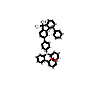 CC1(C)c2ccc(-c3ccc(N(c4ccccc4)c4ccccc4-c4ccccc4)cc3)cc2-c2c(-c3ccccc3)cccc21